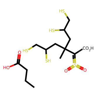 CC(CC(S)CS)(CC(S)CS)C(C(=O)O)=S(=O)=O.CCCC(=O)O